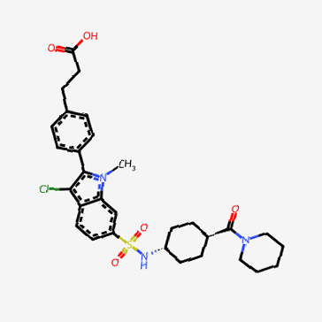 Cn1c(-c2ccc(CCC(=O)O)cc2)c(Cl)c2ccc(S(=O)(=O)N[C@H]3CC[C@H](C(=O)N4CCCCC4)CC3)cc21